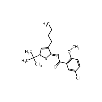 CCCCc1cn(C(C)(C)C)s/c1=N\C(=O)c1cc(Cl)ccc1OC